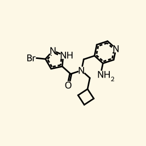 Nc1cnccc1CN(CC1CCC1)C(=O)c1cc(Br)n[nH]1